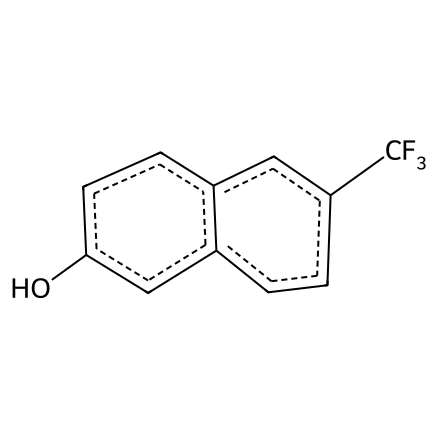 Oc1ccc2cc(C(F)(F)F)ccc2c1